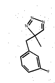 CC1(Cc2cccc(F)c2)C=NN=N1